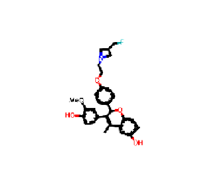 COc1cc(C2=C(C)c3cc(O)ccc3OC2c2ccc(OCCN3CC(CF)C3)cc2)ccc1O